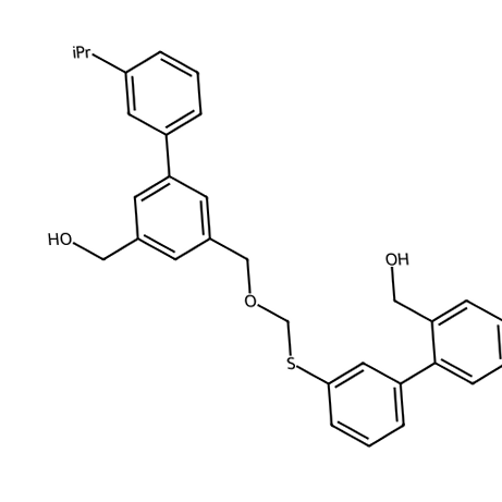 CC(C)c1cccc(-c2cc(CO)cc(COCSc3cccc(-c4ccccc4CO)c3)c2)c1